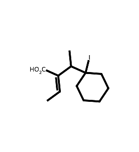 CC=C(C(=O)O)C(C)C1(I)CCCCC1